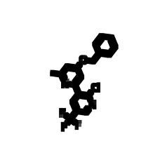 Cc1cc(OCc2ccccc2)cc(-c2cc(C(F)(F)F)cnc2Cl)n1